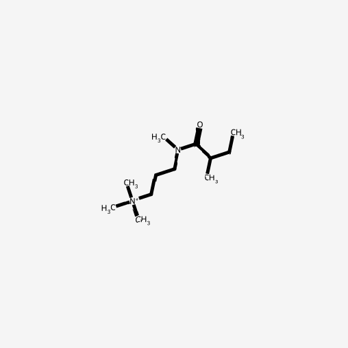 CCC(C)C(=O)N(C)CCC[N+](C)(C)C